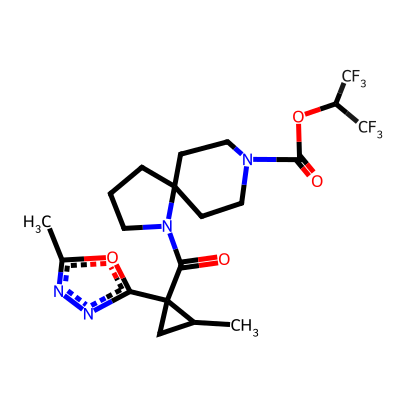 Cc1nnc(C2(C(=O)N3CCCC34CCN(C(=O)OC(C(F)(F)F)C(F)(F)F)CC4)CC2C)o1